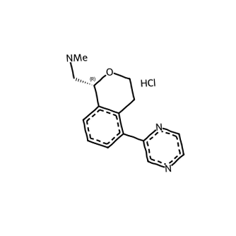 CNC[C@@H]1OCCc2c(-c3cnccn3)cccc21.Cl